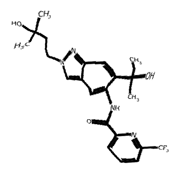 CC(C)(O)CCn1cc2cc(NC(=O)c3cccc(C(F)(F)F)n3)c(C(C)(C)O)cc2n1